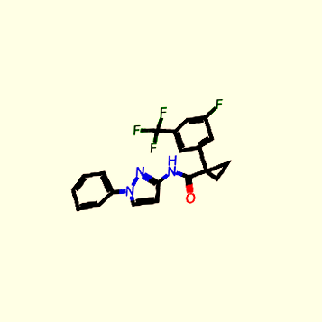 O=C(Nc1ccn(-c2ccccc2)n1)C1(c2cc(F)cc(C(F)(F)F)c2)CC1